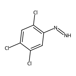 N=Nc1cc(Cl)c(Cl)cc1Cl